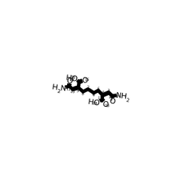 NC(=O)C=C(CCCCC(=CC(N)=O)C(=O)O)C(=O)O